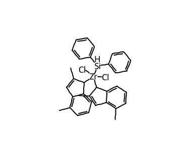 CC1=Cc2c(C)cccc2[CH]1[Zr]([Cl])([Cl])([CH]1C(C)=Cc2c(C)cccc21)[SiH](c1ccccc1)c1ccccc1